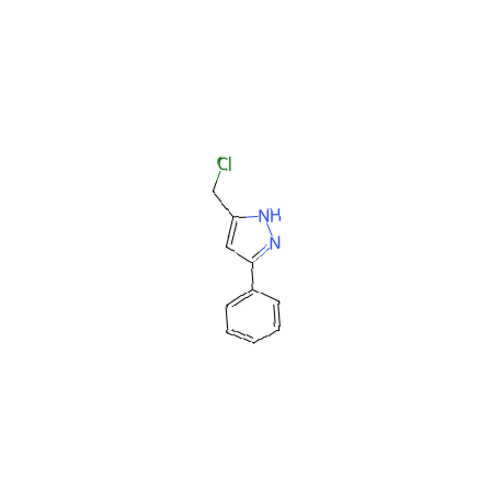 ClCc1cc(-c2ccccc2)n[nH]1